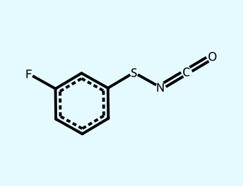 O=C=NSc1cccc(F)c1